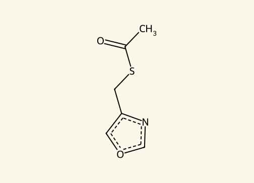 CC(=O)SCc1cocn1